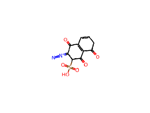 [N-]=[N+]=C1C(=O)C2=C(C(=O)CC=C2)C(=O)C1S(=O)(=O)O